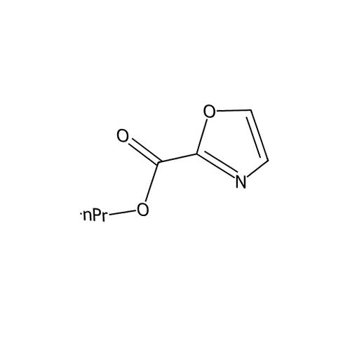 CC[CH]OC(=O)c1ncco1